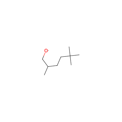 CC(C[O])CCC(C)(C)C